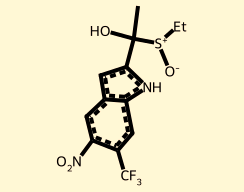 CC[S+]([O-])C(C)(O)c1cc2cc([N+](=O)[O-])c(C(F)(F)F)cc2[nH]1